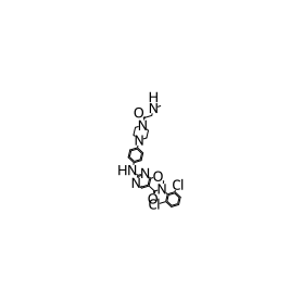 CNCC(=O)N1CCN(c2ccc(Nc3ncc4c(n3)OCN(c3c(Cl)cccc3Cl)C4=O)cc2)CC1